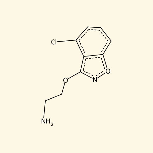 NCCOc1noc2cccc(Cl)c12